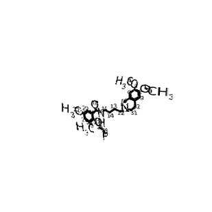 COc1cc2c(cc1OC)CN(CCCCNC(=O)c1cc(C)cc(C)c1OCCF)CC2